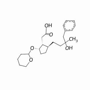 CC(O)(CC[C@H]1CC[C@H](OC2CCCCO2)[C@@H]1CC(=O)O)Cc1ccccc1